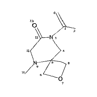 C=C(C)N1CC2(COC2)N(C)CC1=O